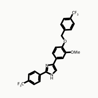 COc1cc(-c2c[nH]c(-c3ccc(C(F)(F)F)cc3)n2)ccc1OCc1ccc(C(F)(F)F)cc1